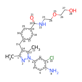 Cc1nn(-c2ccc(N)c(Cl)c2)c(C)c1Cc1ccc(C(=O)NCCOCCO)cc1